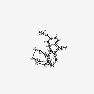 CC(C)(C)c1ccc2[nH]c3cnc4c(c3c2c1)C1CC2CC(CC4C2)C1